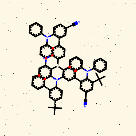 Cc1cc2c3c(c1)N(c1ccc(C(C)(C)C)cc1-c1ccccc1)c1cc(-c4cc(C#N)cc(C(C)(C)C)c4N(c4ccccc4)c4ccccc4)ccc1B3c1ccc(-c3cc(C#N)ccc3N(c3ccccc3)c3ccccc3)cc1N2